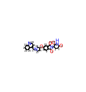 O=C1CCC(N2C(=O)c3ccc(OC4CCN(Cc5ccnc6ccccc56)C4)cc3C2=O)C(=O)N1